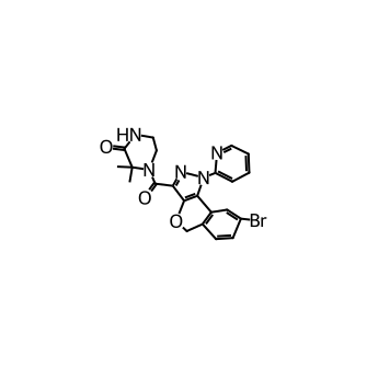 CC1(C)C(=O)NCCN1C(=O)c1nn(-c2ccccn2)c2c1OCc1ccc(Br)cc1-2